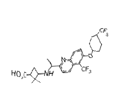 CC(NC1CC(C(=O)O)C1(C)C)c1ccc2c(C(F)(F)F)c(OC3CCC(C(F)(F)F)CC3)ccc2n1